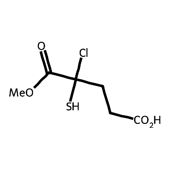 COC(=O)C(S)(Cl)CCC(=O)O